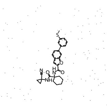 CSc1cccc(-c2ccc3cc(C(=O)NC4(C(=O)NC5(C#N)CC5)CCCCC4)oc3c2)c1